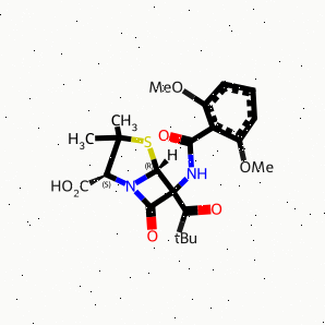 COc1cccc(OC)c1C(=O)NC1(C(=O)C(C)(C)C)C(=O)N2[C@@H](C(=O)O)C(C)(C)S[C@@H]21